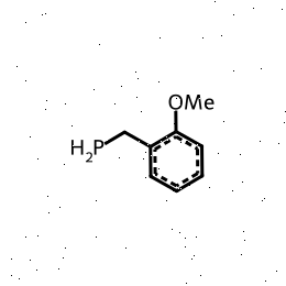 COc1ccccc1CP